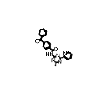 Cc1nc(NC(=O)c2ccc(C(=O)c3ccccc3)cc2)nc(-c2ccccn2)n1